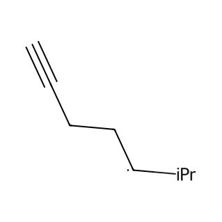 C#CCC[CH]C(C)C